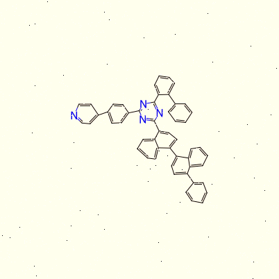 c1ccc(-c2ccccc2-c2nc(-c3ccc(-c4ccncc4)cc3)nc(-c3ccc(-c4ccc(-c5ccccc5)c5ccccc45)c4ccccc34)n2)cc1